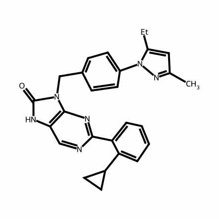 CCc1cc(C)nn1-c1ccc(Cn2c(=O)[nH]c3cnc(-c4ccccc4C4CC4)nc32)cc1